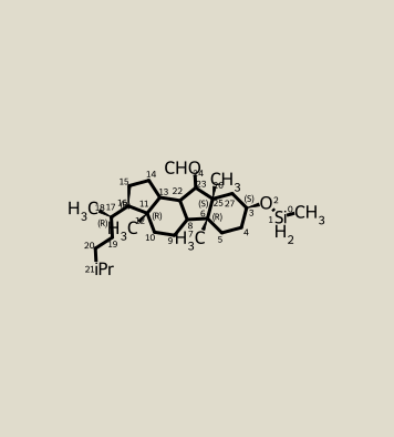 C[SiH2]O[C@H]1CC[C@]2(C)C3CC[C@@]4(C)C(CC[C@@H]4[C@H](C)CCC(C)C)C3C(C=O)[C@]2(C)C1